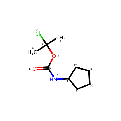 CC(C)(Cl)OC(=O)NC1CCCC1